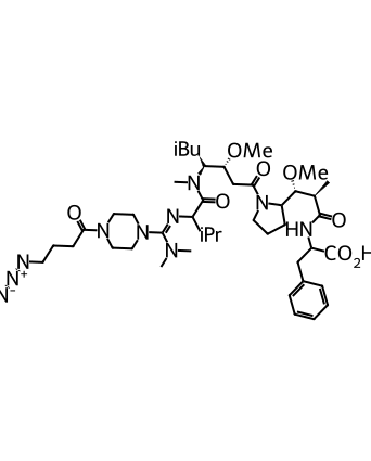 CC[C@H](C)[C@@H]([C@@H](CC(=O)N1CCCC1[C@H](OC)[C@@H](C)C(=O)NC(Cc1ccccc1)C(=O)O)OC)N(C)C(=O)C(N=C(N(C)C)N1CCN(C(=O)CCCN=[N+]=[N-])CC1)C(C)C